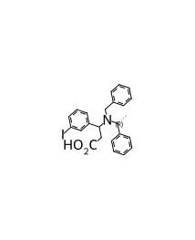 C[C@H](c1ccccc1)N(Cc1ccccc1)C(CC(=O)O)c1cccc(I)c1